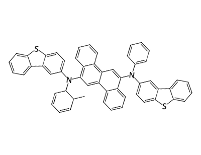 CC1C=CC=CC1N(c1ccc2sc3ccccc3c2c1)c1cc2c3ccccc3c(N(c3ccccc3)c3ccc4sc5ccccc5c4c3)cc2c2ccccc12